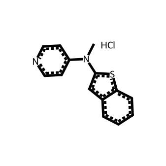 CN(c1ccncc1)c1cc2ccccc2s1.Cl